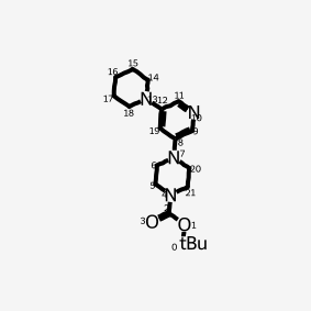 CC(C)(C)OC(=O)N1CCN(c2cncc(N3CCCCC3)c2)CC1